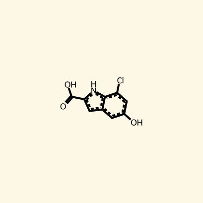 O=C(O)c1cc2cc(O)cc(Cl)c2[nH]1